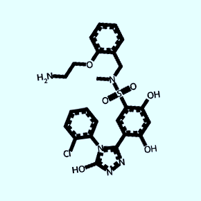 CN(Cc1ccccc1OCCN)S(=O)(=O)c1cc(-c2nnc(O)n2-c2ccccc2Cl)c(O)cc1O